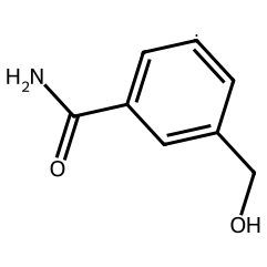 NC(=O)c1c[c]cc(CO)c1